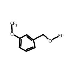 C[CH]OCc1cccc(OC(F)(F)F)c1